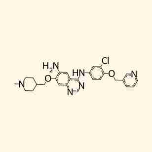 CN1CCC(COc2cc3ncnc(Nc4ccc(OCc5cccnc5)c(Cl)c4)c3cc2N)CC1